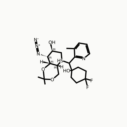 Cc1cccnc1C([SH]1C[C@H](O)[C@@H](N=[N+]=[N-])[C@H]2OC(C)(C)OC[C@H]21)C1(O)CCC(F)(F)CC1